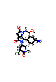 COC[C@@H](C)n1c(Br)cc2c1C(c1ccc(C#N)cc1)N(c1cc(Cl)c(=O)n(C)c1)C2=O